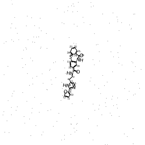 O=C(NCCc1nnc(-c2ccco2)[nH]1)c1ccc2c(c1)NC(=O)c1ccccc1S2